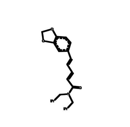 CC(C)CN(CC(C)C)C(=O)/C=C/C=Cc1ccc2c(c1)OCO2